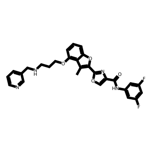 Cc1c(-c2nc(C(=O)Nc3cc(F)cc(F)c3)co2)oc2cccc(OCCCNCc3cccnc3)c12